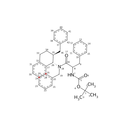 CC(C)(C)OC(=O)NC(Cc1ccccc1)C(=O)N(Cc1ccccc1)[C@@H]1c2ccccc2CC[C@H]1Cc1ccccc1